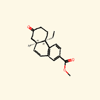 CC[C@@]12CCC(=O)C[C@@H]1C=Cc1cc(C(=O)OC)ccc12